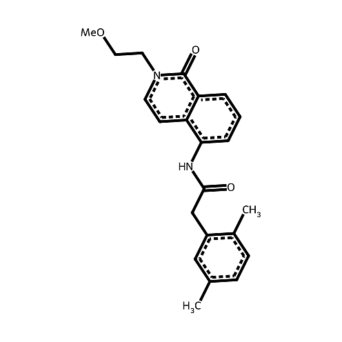 COCCn1ccc2c(NC(=O)Cc3cc(C)ccc3C)cccc2c1=O